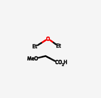 CCOCC.COCC(=O)O